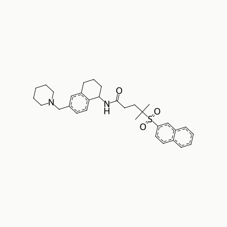 CC(C)(CCC(=O)NC1CCCc2cc(CN3CCCCC3)ccc21)S(=O)(=O)c1ccc2ccccc2c1